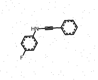 Fc1ccc(NC#Cc2ccccc2)cc1